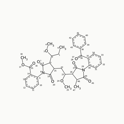 CCC(OC)C1C(=O)N(c2ccccc2C(=O)OC)C(=O)C1CC(OC)C1C(=O)N(c2ccccc2C(=O)c2ccccc2)C(=O)C1C